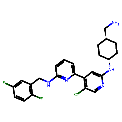 NC[C@H]1CC[C@H](Nc2cc(-c3cccc(NCc4cc(F)ccc4F)n3)c(Cl)cn2)CC1